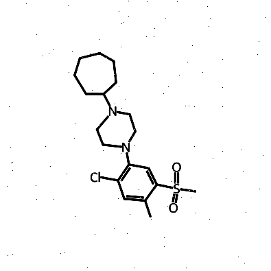 Cc1cc(Cl)c(N2CCN(C3CCCCCC3)CC2)cc1S(C)(=O)=O